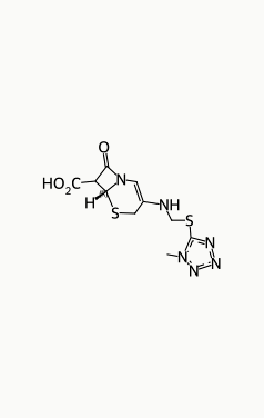 Cn1nnnc1SCNC1=CN2C(=O)C(C(=O)O)[C@H]2SC1